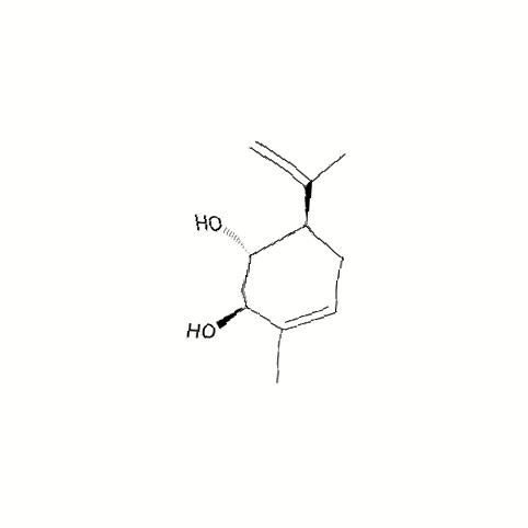 C=C(C)[C@H]1CC=C(C)[C@@H](O)[C@@H]1O